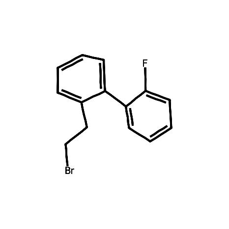 Fc1ccccc1-c1ccccc1CCBr